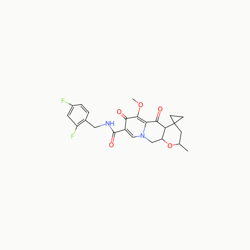 COc1c2n(cc(C(=O)NCc3ccc(F)cc3F)c1=O)CC1OC(C)CC3(CC3)C1C2=O